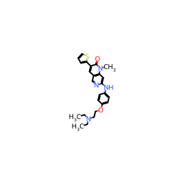 CCN(CC)CCOc1ccc(Nc2cc3c(cn2)cc(-c2cccs2)c(=O)n3C)cc1